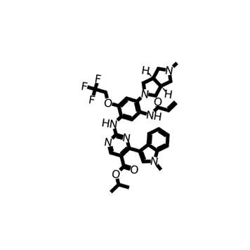 C=CC(=O)Nc1cc(Nc2ncc(C(=O)OC(C)C)c(-c3cn(C)c4ccccc34)n2)c(OCC(F)(F)F)cc1N1C[C@H]2CN(C)C[C@H]2C1